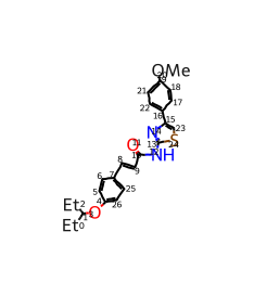 CCC(CC)Oc1ccc(/C=C/C(=O)Nc2nc(-c3ccc(OC)cc3)cs2)cc1